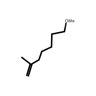 [CH2]OCCCCCC(=C)C